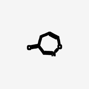 O=C1C=NOC=CC1